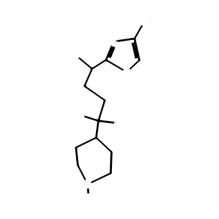 CC(CCC(C)(C)C1CCN(C(C)C)CC1)c1nc(C(C)(C)C)cs1